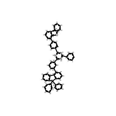 c1ccc(-c2nc(-c3ccc(-c4cccc5c4oc4ccccc45)cc3)nc(-c3cccc(-c4cccc5c4-c4ccccc4C5(c4ccccc4)c4ccccc4)c3)n2)cc1